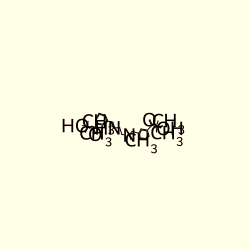 CN(CCNCc1cccc(C(=O)C(C)(C)O)c1)Cc1cccc(C(=O)C(C)(C)O)c1